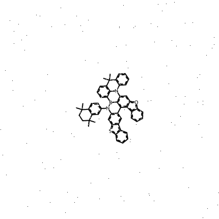 CC1(C)CCC(C)(C)c2cc(N3B4c5cccc6c5N(c5ccccc5C6(C)C)c5cc6oc7ccccc7c6c(c54)-c4cc5c(cc43)sc3ccccc35)ccc21